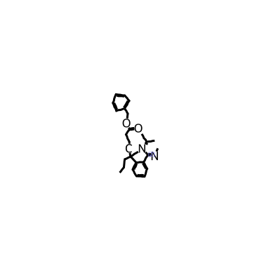 CCCC(C)(CCCC(=O)OCc1ccccc1)c1ccccc1/C(N=C(C)C)=N/C